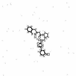 N[C@@H](CC(=O)N1CCC[C@H]1CNc1nc(-c2cccc(Cl)c2)no1)Cc1ccccc1F